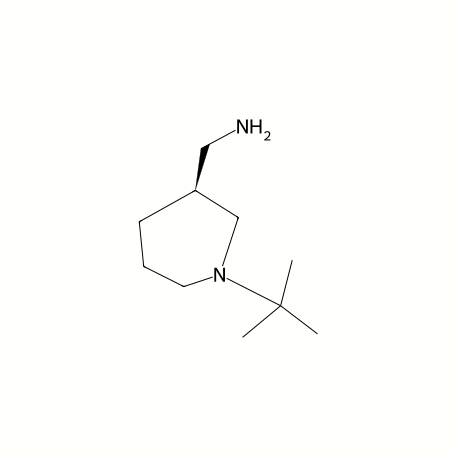 CC(C)(C)N1CCC[C@@H](CN)C1